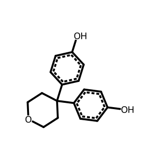 Oc1ccc(C2(c3ccc(O)cc3)CCOCC2)cc1